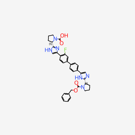 O=C(O)N1CCC[C@H]1c1nc(-c2ccc(-c3ccc(-c4cnc([C@@H]5CCCN5C(=O)OCc5ccccc5)[nH]4)cc3)cc2F)c[nH]1